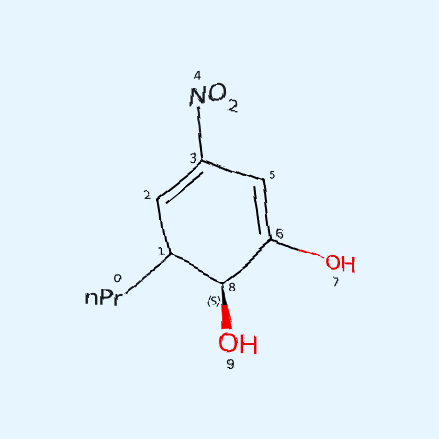 CCCC1C=C([N+](=O)[O-])C=C(O)[C@H]1O